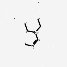 CCN(/C=N\C)CC